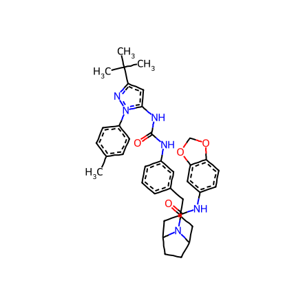 Cc1ccc(-n2nc(C(C)(C)C)cc2NC(=O)Nc2cccc(CC3CC4CCC(C3)N4C(=O)Nc3ccc4c(c3)OCO4)c2)cc1